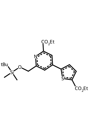 CCOC(=O)c1cc(-c2ccc(C(=O)OCC)s2)cc(CO[Si](C)(C)C(C)(C)C)n1